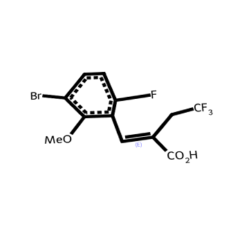 COc1c(Br)ccc(F)c1/C=C(\CC(F)(F)F)C(=O)O